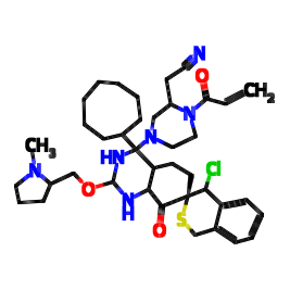 C=CC(=O)N1CCN(C2(C3CCCCCCC3)NC(OCC3CCCN3C)NC3C(=O)[C@@]4(CCC32)SCc2ccccc2C4Cl)CC1CC#N